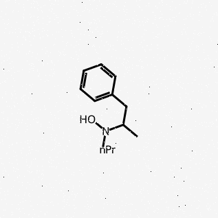 CCCN(O)C(C)Cc1ccccc1